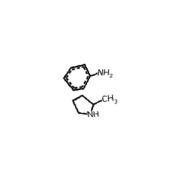 CC1CCCN1.Nc1ccccc1